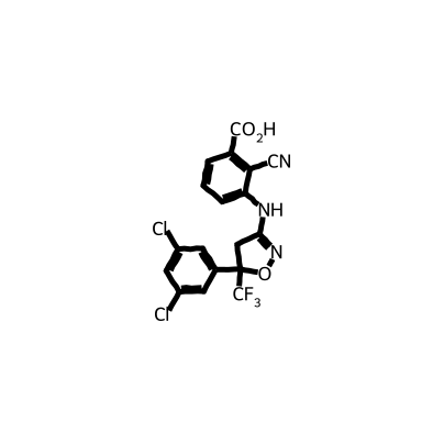 N#Cc1c(NC2=NOC(c3cc(Cl)cc(Cl)c3)(C(F)(F)F)C2)cccc1C(=O)O